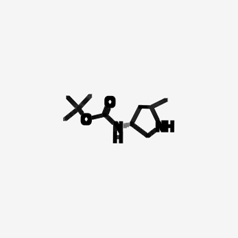 CC1C[C@@H](NC(=O)OC(C)(C)C)CN1